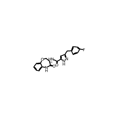 O=C(N[C@H]1COc2ccccc2NC1=O)c1cc(Cc2ccc(F)cc2)n[nH]1